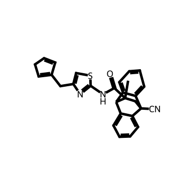 CC1(C(=O)Nc2nc(CC3=CCC=C3)cs2)CC2(C#N)c3ccccc3C1c1ccccc12